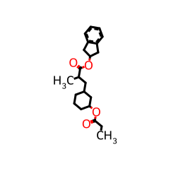 CCC(=O)OC1CCCC(CC(C)C(=O)OC2Cc3ccccc3C2)C1